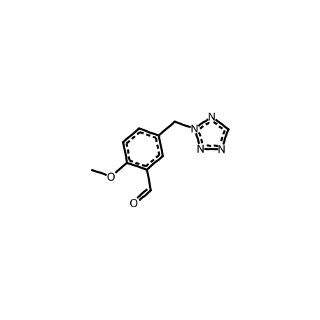 COc1ccc(Cn2ncnn2)cc1C=O